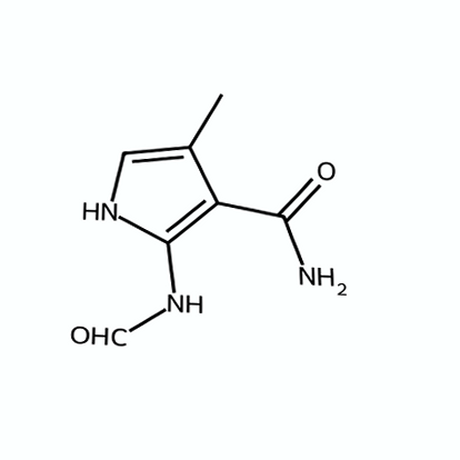 Cc1c[nH]c(NC=O)c1C(N)=O